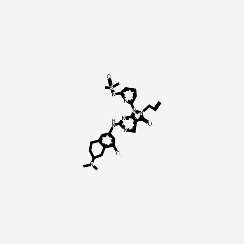 C=CCn1c(=O)c2cnc(Nc3cc(Cl)c4c(c3)CCC(N(C)C)C4)nc2n1-c1cccc(N=S(C)(C)=O)n1